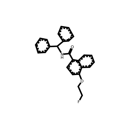 O=C(NC(c1ccccc1)c1ccccc1)c1ccc(OCCF)c2ccccc12